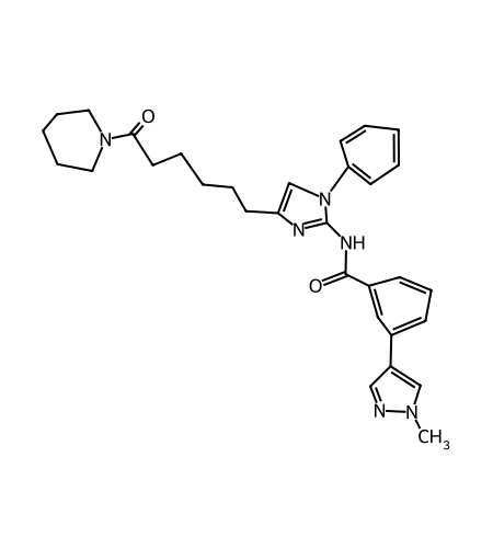 Cn1cc(-c2cccc(C(=O)Nc3nc(CCCCCC(=O)N4CCCCC4)cn3-c3ccccc3)c2)cn1